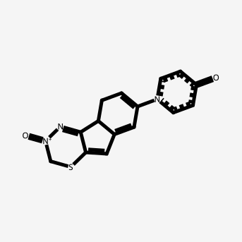 O=c1ccn(C2=CCC3C(=C2)C=C2SC[N+](=O)N=C23)cc1